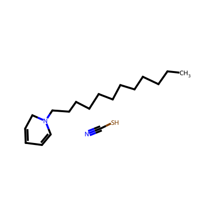 CCCCCCCCCCCCN1C=CC=CC1.N#CS